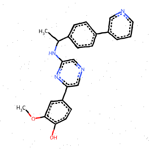 COc1cc(-c2cncc(NC(C)c3ccc(-c4cccnc4)cc3)n2)ccc1O